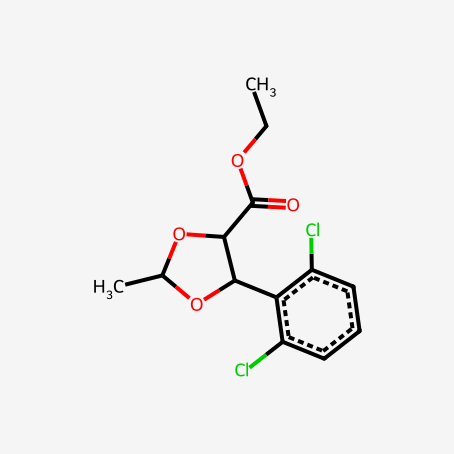 CCOC(=O)C1OC(C)OC1c1c(Cl)cccc1Cl